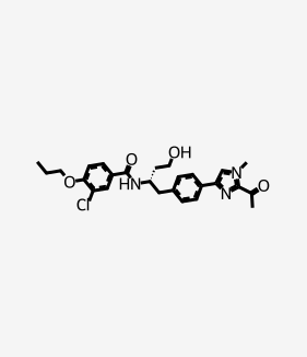 CCCOc1ccc(C(=O)N[C@H](CCO)Cc2ccc(-c3cn(C)c(C(C)=O)n3)cc2)cc1Cl